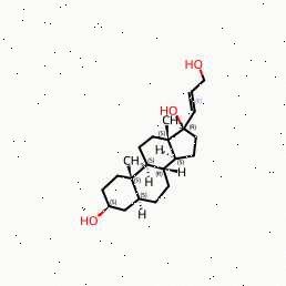 C[C@]12CC[C@H](O)C[C@@H]1CC[C@@H]1[C@@H]2CC[C@@]2(C)[C@H]1CC[C@@]2(O)/C=C/CO